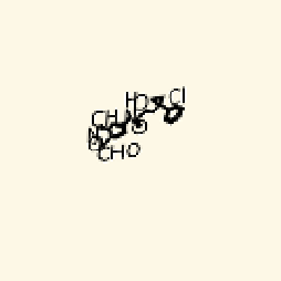 CC1=NOC(C=O)c2ccc(NC(=O)C(=O)CC3(c4ccccc4Cl)CC3)cc21